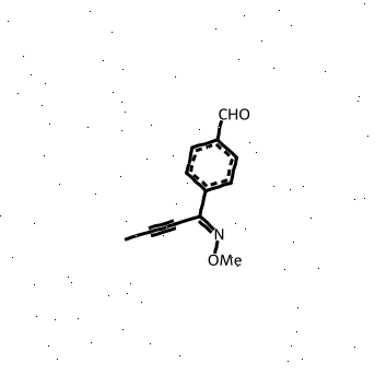 CC#CC(=NOC)c1ccc(C=O)cc1